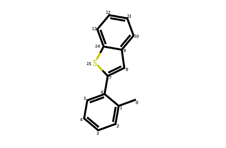 Cc1ccccc1-c1cc2ccccc2s1